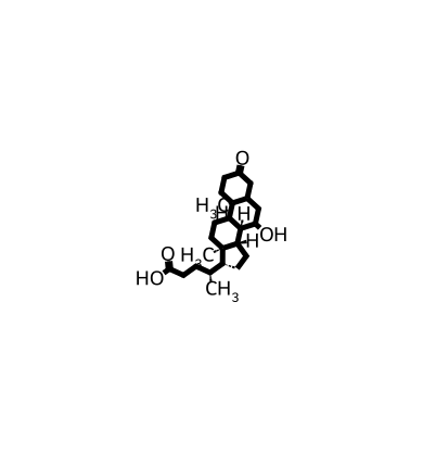 C[C@H](CCC(=O)O)[C@H]1CC[C@H]2[C@@H]3C(O)CC4CC(=O)CC[C@]4(C)[C@H]3CC[C@]12C